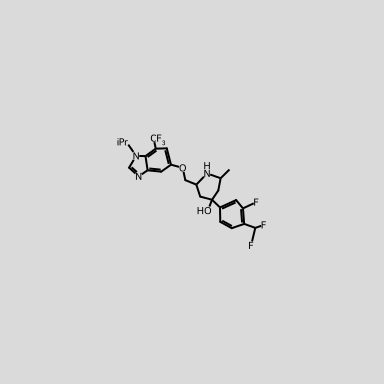 CC1CC(O)(c2ccc(C(F)F)c(F)c2)CC(COc2cc(C(F)(F)F)c3c(c2)ncn3C(C)C)N1